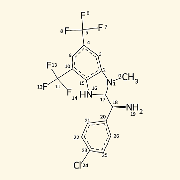 CN1c2cc(C(F)(F)F)cc(C(F)(F)F)c2NC1[C@@H](N)c1ccc(Cl)cc1